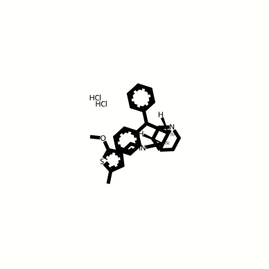 COc1sc(C)cc1CN[C@H]1C2CCN(CC2)[C@H]1C(c1ccccc1)c1ccccc1.Cl.Cl